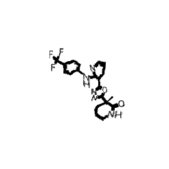 C[C@]1(c2nnc(-c3cccnc3Nc3ccc(C(F)(F)F)cc3)o2)CCCNC1=O